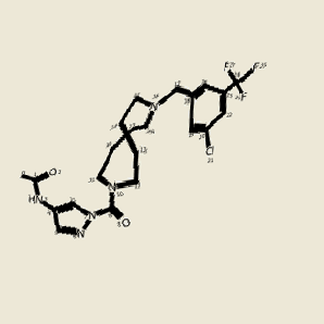 CC(=O)Nc1cnn(C(=O)N2CCC3(CCN(Cc4cc(Cl)cc(C(F)(F)F)c4)C3)CC2)c1